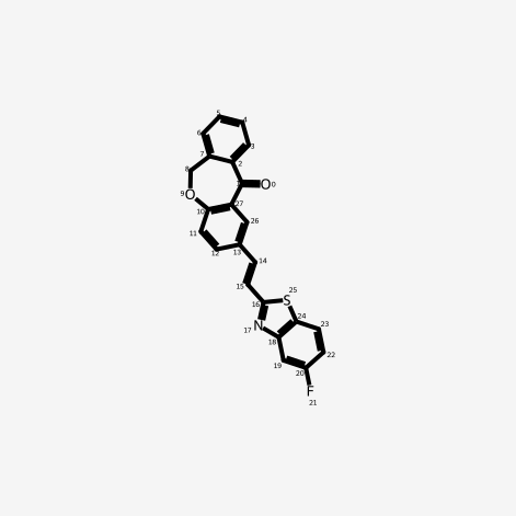 O=C1c2ccccc2COc2ccc(C=Cc3nc4cc(F)ccc4s3)cc21